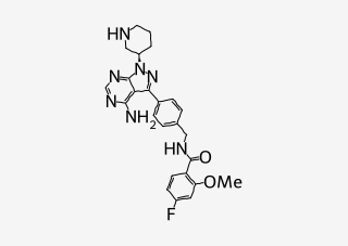 COc1cc(F)ccc1C(=O)NCc1ccc(-c2nn([C@@H]3CCCNC3)c3ncnc(N)c23)cc1